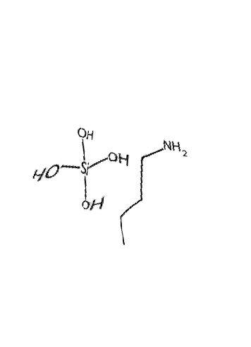 CCCCN.O[Si](O)(O)O